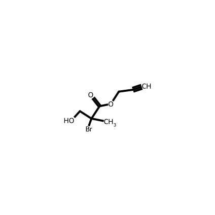 C#CCOC(=O)C(C)(Br)CO